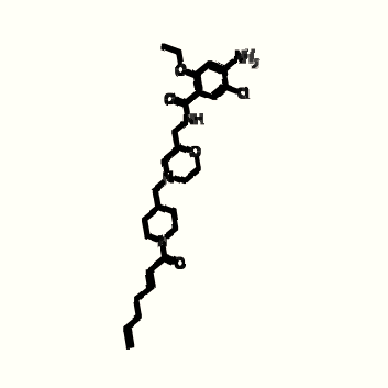 C=CCCC=CC(=O)N1CCC(CN2CCOC(CNC(=O)c3cc(Cl)c(N)cc3OCC)C2)CC1